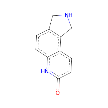 O=c1ccc2c3c(ccc2[nH]1)CNC3